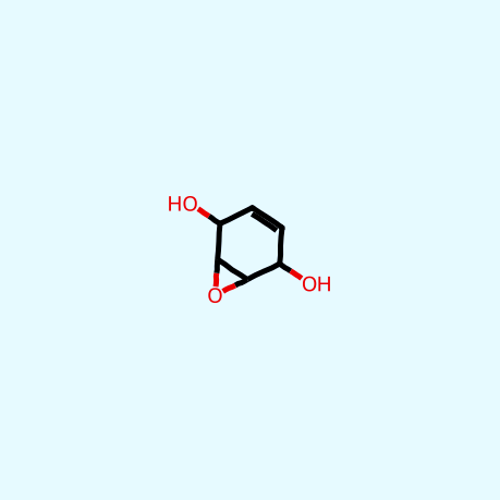 OC1C=CC(O)C2OC12